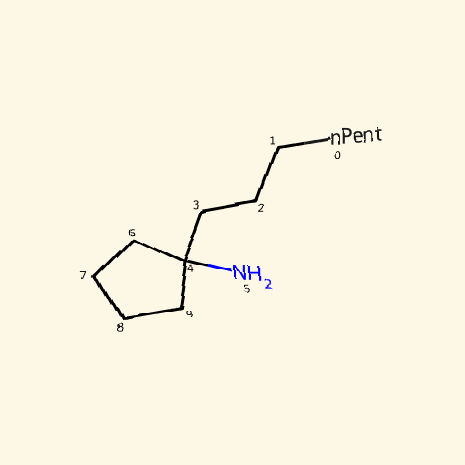 CCCCCCCCC1(N)CCCC1